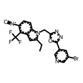 [C-]#[N+]c1ccc2c(cc(CC)n2Cc2nnc(-c3cncc(Br)c3)o2)c1C(F)(F)F